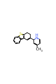 CC1=CC(C2=Cc3c(sc4ccccc34)CC2)NC=C1